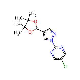 CC1(C)OB(c2cnn(-c3ncc(Cl)cn3)c2)OC1(C)C